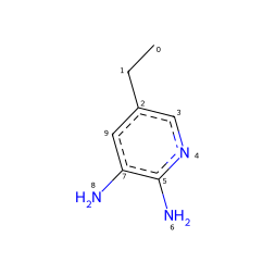 CCc1cnc(N)c(N)c1